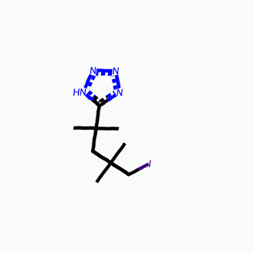 CC(C)(CI)CC(C)(C)c1nnn[nH]1